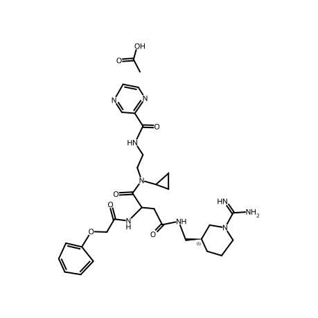 CC(=O)O.N=C(N)N1CCC[C@@H](CNC(=O)CC(NC(=O)COc2ccccc2)C(=O)N(CCNC(=O)c2cnccn2)C2CC2)C1